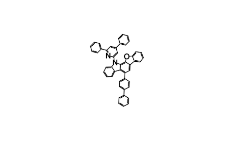 c1ccc(-c2ccc(-c3cc4c5ccccc5oc4c4c3c3ccccc3n4-c3cc(-c4ccccc4)cc(-c4ccccc4)n3)cc2)cc1